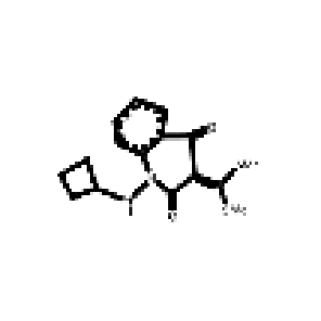 CSC(SC)=C1C(=O)c2ccccc2N(NC2CCC2)C1=O